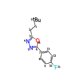 CC(C)(C)CCc1nnc(-c2ccc(F)cc2)o1